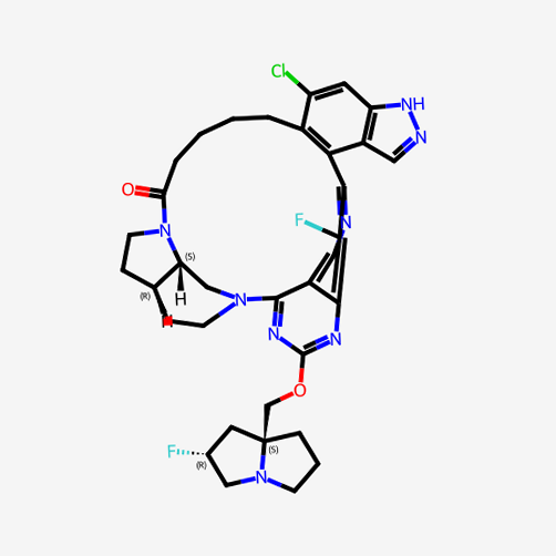 O=C1CCCCc2c(Cl)cc3[nH]ncc3c2-c2ncc3c(nc(OC[C@@]45CCCN4C[C@H](F)C5)nc3c2F)N2CC[C@@H]3CCN1[C@@H]3C2